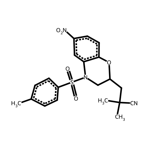 Cc1ccc(S(=O)(=O)N2CC(CC(C)(C)C#N)Oc3ccc([N+](=O)[O-])cc32)cc1